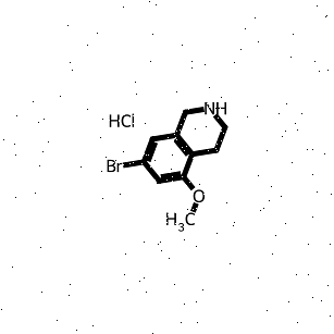 COc1cc(Br)cc2c1CCNC2.Cl